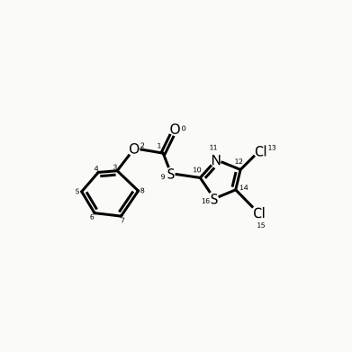 O=C(Oc1ccccc1)Sc1nc(Cl)c(Cl)s1